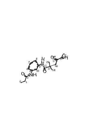 CCC(=O)Nc1cccc(NC(=O)C(C)(C)CC(=O)O)c1